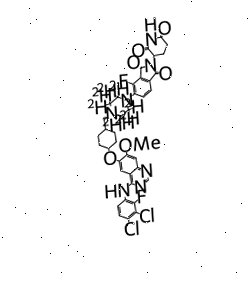 [2H]C1([2H])N(CC2CCC(Oc3cc4c(Nc5ccc(Cl)c(Cl)c5F)ncnc4cc3OC)CC2)C([2H])([2H])C([2H])([2H])N(c2ccc3c(c2F)C(=O)N(C2CCC(=O)NC2=O)C3=O)C1([2H])[2H]